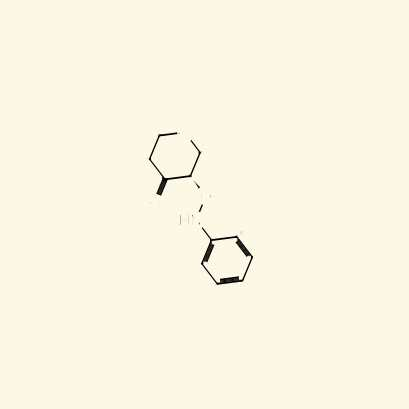 O=C1CCOC[C@H]1ONc1ccccc1